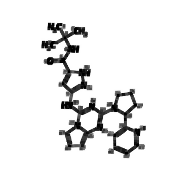 CC(C)(C)NC(=O)c1cc(Nc2nc(N3CCCC3c3ccccn3)nc3cccn23)n[nH]1